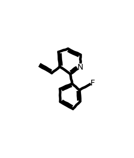 C=Cc1cccnc1-c1ccccc1F